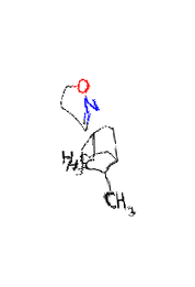 C1=NOCC1.CC1CCC2CC1C2(C)C